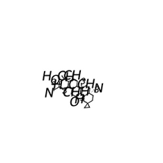 CC1(C)C(=O)C(C#N)=C[C@]2(C)C3=CC(=O)[C@@H]4[C@@H]5CC6(CC6)CC[C@]5(C#N)CC[C@@]4(C)[C@]3(C)CC[C@@H]12